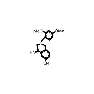 COc1ccc(CN2CC(=N)c3cc(C#N)ccc3C2)c(OC)c1